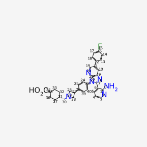 Nc1ncccc1-c1nc2cc(-c3ccc(F)cc3)cnc2n1-c1ccc(C2CN(C[C@H]3CC[C@H](C(=O)O)CC3)C2)cc1